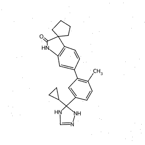 Cc1ccc(C2(C3CC3)NC=NN2)cc1-c1ccc2c(c1)NC(=O)C21CCCC1